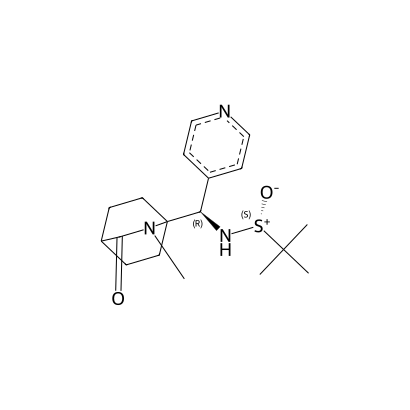 CN1C(=O)C2CCC1([C@H](N[S@+]([O-])C(C)(C)C)c1ccncc1)CC2